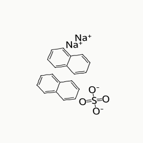 O=S(=O)([O-])[O-].[Na+].[Na+].c1ccc2ccccc2c1.c1ccc2ccccc2c1